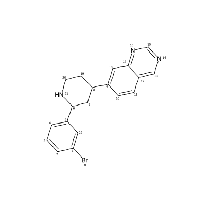 Brc1cccc(C2CC(c3ccc4cncnc4c3)CCN2)c1